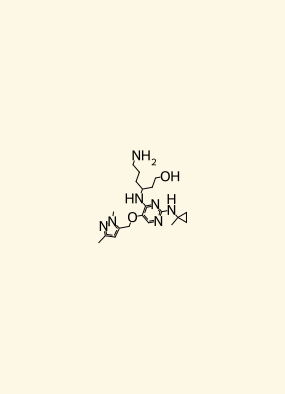 Cc1cc(COc2cnc(NC3(C)CC3)nc2NC(CCO)CCCN)n(C)n1